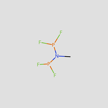 CN(P(F)F)P(F)F